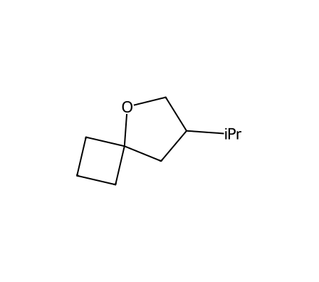 CC(C)C1COC2(CCC2)C1